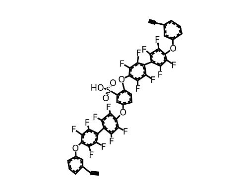 C#Cc1cccc(Oc2c(F)c(F)c(-c3c(F)c(F)c(Oc4ccc(Oc5c(F)c(F)c(-c6c(F)c(F)c(Oc7cccc(C#C)c7)c(F)c6F)c(F)c5F)c(S(=O)(=O)O)c4)c(F)c3F)c(F)c2F)c1